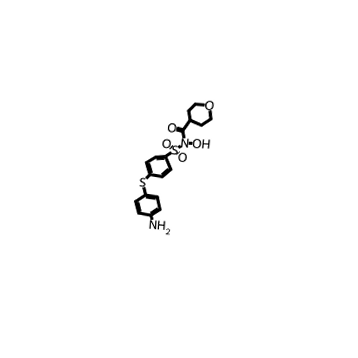 Nc1ccc(Sc2ccc(S(=O)(=O)N(O)C(=O)C3CCOCC3)cc2)cc1